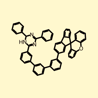 c1ccc(C2=NC(c3ccccc3)NC(c3cccc(-c4cccc(-c5cccc(-c6ccc7c(c6)C6(c8ccccc8Oc8ccccc86)c6ccccc6-7)c5)c4)c3)=N2)cc1